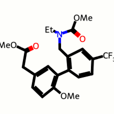 CCN(Cc1cc(C(F)(F)F)ccc1-c1cc(CC(=O)OC)ccc1OC)C(=O)OC